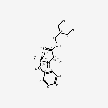 CCC(CC)COC(=O)[C@H](C)N[P@](C)(=O)Oc1ccccc1